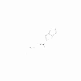 CC(C)CNC(=O)c1cc2[nH]ccc2s1